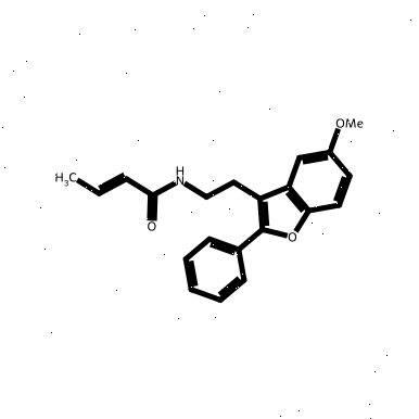 CC=CC(=O)NCCc1c(-c2ccccc2)oc2ccc(OC)cc12